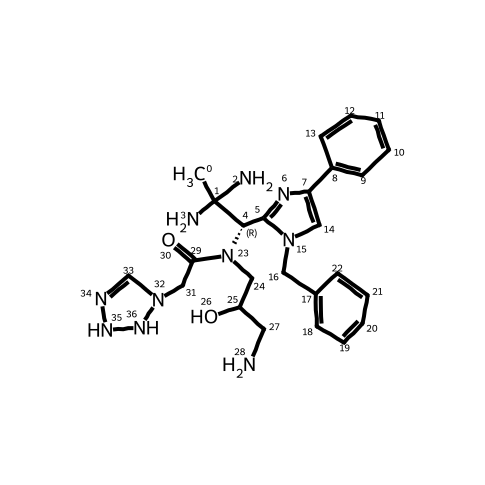 CC(N)(N)[C@H](c1nc(-c2ccccc2)cn1Cc1ccccc1)N(CC(O)CN)C(=O)CN1C=NNN1